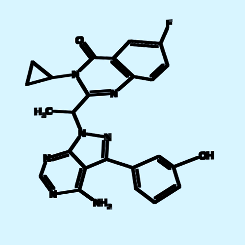 CC(c1nc2ccc(F)cc2c(=O)n1C1CC1)n1nc(-c2cccc(O)c2)c2c(N)ncnc21